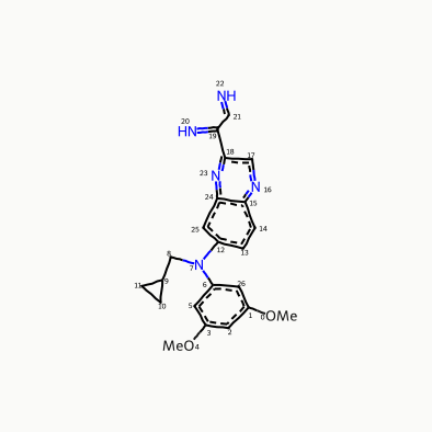 COc1cc(OC)cc(N(CC2CC2)c2ccc3ncc(C(=N)C=N)nc3c2)c1